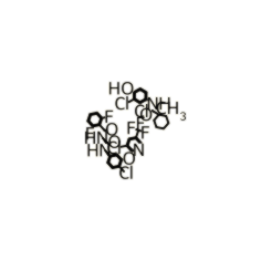 CC1(C(=O)Nc2ccc(O)c(Cl)c2Cl)CCCCC1.O=C(NC(=O)c1c(F)cccc1F)Nc1ccc(Cl)c(Oc2ncc(C(F)(F)F)cc2Cl)c1